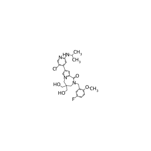 COc1ccc(F)cc1CN1CC(CO)(CO)Cn2cc(-c3cc(NC(C)C)ncc3Cl)cc2C1=O